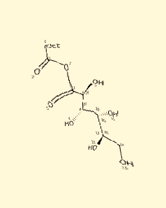 CCCCCCCCC(=O)OC(=O)[C@@H](O)[C@@H](O)[C@H](O)[C@H](O)CO